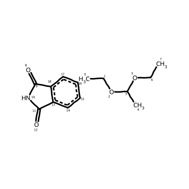 CCOC(C)OCC.O=C1NC(=O)c2ccccc21